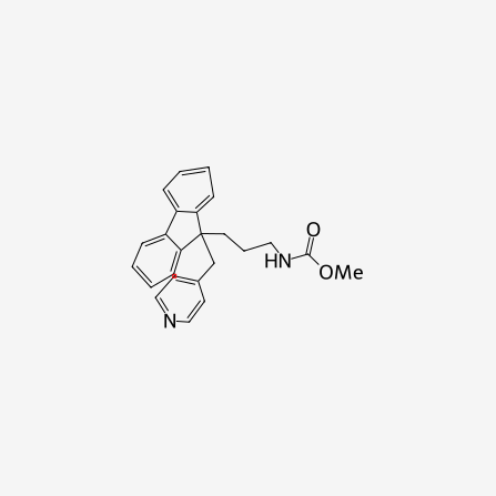 COC(=O)NCCCC1(Cc2ccncc2)c2ccccc2-c2ccccc21